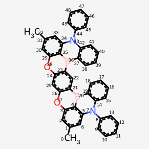 Cc1cc2c3c(c1)N(c1ccccc1)c1ccccc1B3c1cc3c(cc1O2)Oc1cc(C)cc2c1B3c1ccccc1N2c1ccccc1